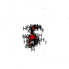 CC[C@H](C)[C@@H]1NC(=O)CNC(=O)C2Cc3c([nH]c4cc(OCc5ccc(N(COCC[Si](C)(C)C)C(=O)[C@@H](C)NC(=O)[C@@H](NC)C(C)C)cc5)ccc34)SCC(NC(=O)CNC1=O)C(=O)N[C@@H](CC(N)=O)C(=O)N1CC(O)C[C@H]1C(=O)N[C@@H]([C@@H](C)[C@@H](O)CO)C(=O)N2